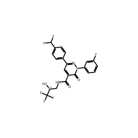 O=C(NC[C@H](O)C(F)(F)F)c1cc(-c2ccc(C(F)F)cc2)nn(-c2cccc(F)c2)c1=O